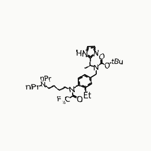 CCCN(CCC)CCCCN(C(=O)C(F)(F)F)c1ccc(CN(C(=O)OC(C)(C)C)C(C)c2ncc[nH]2)cc1CC